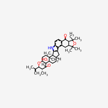 C=C(C)C1OC2CC[C@@]3(C)[C@@](O)(CC[C@H]4Cc5c([nH]c6ccc7c(c56)CC5C(C7=O)C(C)(C)OC5(C)C)[C@@]43C)[C@]23O[C@@H]3[C@@H]1C